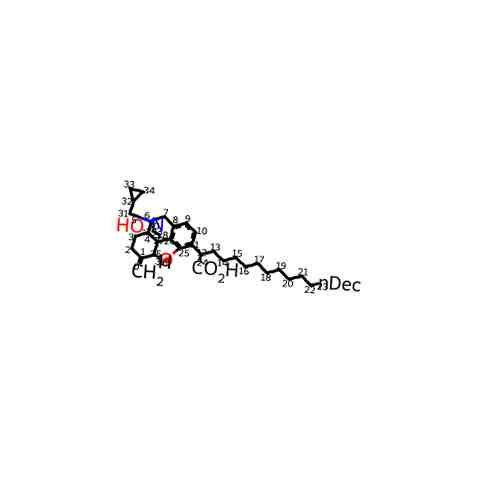 C=C1CC[C@@]2(O)C3Cc4ccc(C(CCCCCCCCCCCCCCCCCCCC)C(=O)O)c5c4[C@@]2(CCN3CC2CC2)[C@H]1O5